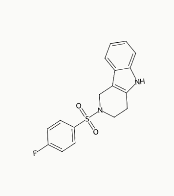 O=S(=O)(c1ccc(F)cc1)N1CCc2[nH]c3ccccc3c2C1